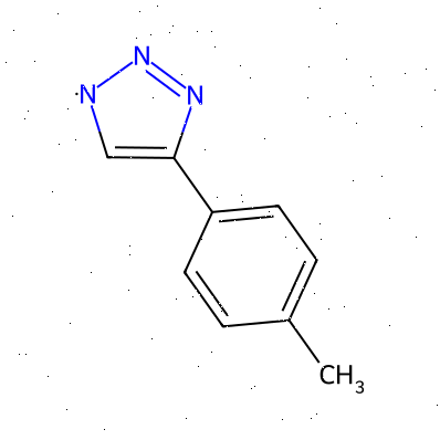 Cc1ccc(C2=C[N]N=N2)cc1